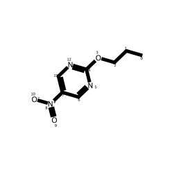 CCCOc1ncc([N+](=O)[O-])cn1